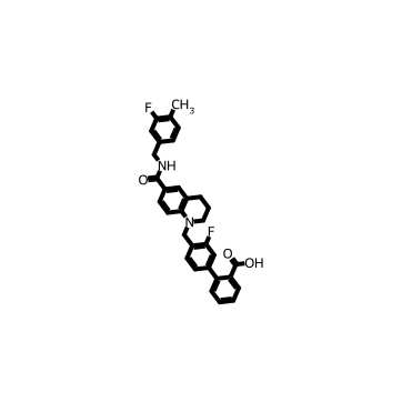 Cc1ccc(CNC(=O)c2ccc3c(c2)CCCN3Cc2ccc(-c3ccccc3C(=O)O)cc2F)cc1F